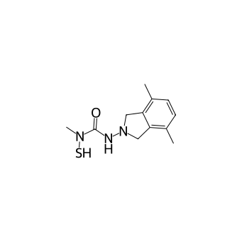 Cc1ccc(C)c2c1CN(NC(=O)N(C)S)C2